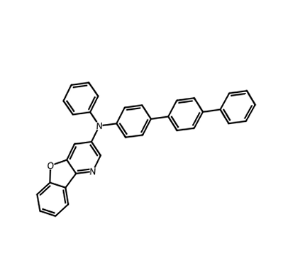 c1ccc(-c2ccc(-c3ccc(N(c4ccccc4)c4cnc5c(c4)oc4ccccc45)cc3)cc2)cc1